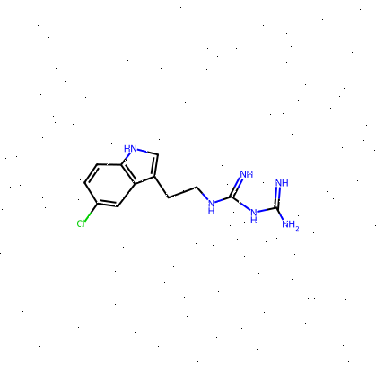 N=C(N)NC(=N)NCCc1c[nH]c2ccc(Cl)cc12